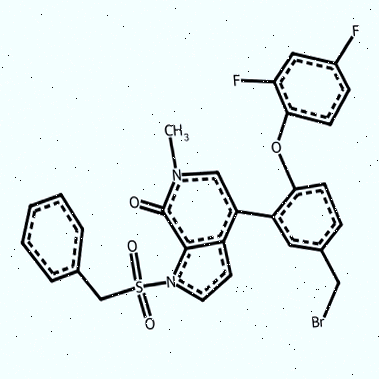 Cn1cc(-c2cc(CBr)ccc2Oc2ccc(F)cc2F)c2ccn(S(=O)(=O)Cc3ccccc3)c2c1=O